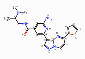 CCN(CC)C(C)CNC(=O)c1cc(N)nc(-c2cnn3ccc(-c4cccs4)nc23)c1